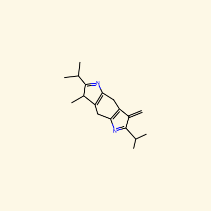 C=C1C(C(C)C)=NC2=C1CC1=C(C2)C(C)C(C(C)C)=N1